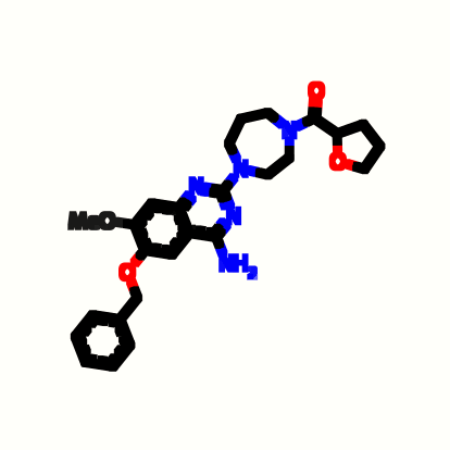 COc1cc2nc(N3CCCN(C(=O)C4CCCO4)CC3)nc(N)c2cc1OCc1ccccc1